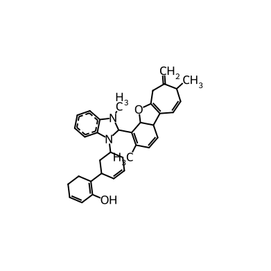 C=C1CC2=C(C=CC1C)C1C=CC(C)=C(C3N(C)c4ccccc4N3C3CC=CC(C4=C(O)C=CCC4)C3)C1O2